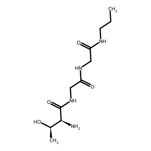 CCCNC(=O)CNC(=O)CNC(=O)[C@@H](N)[C@@H](C)O